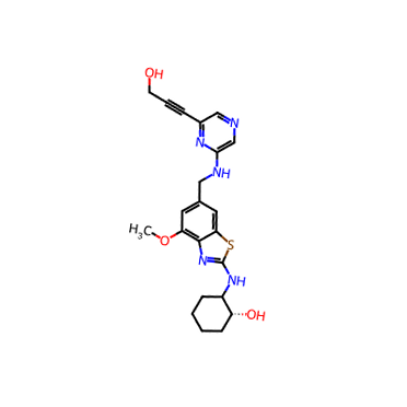 COc1cc(CNc2cncc(C#CCO)n2)cc2sc(NC3CCCC[C@H]3O)nc12